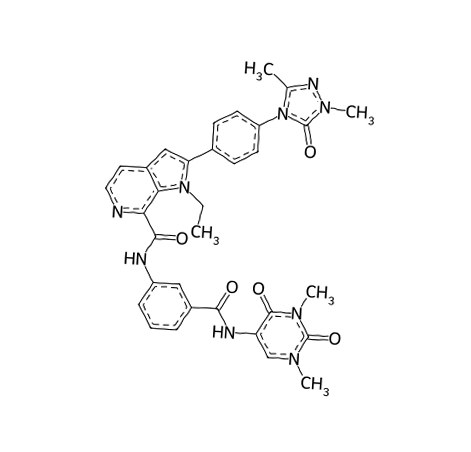 CCn1c(-c2ccc(-n3c(C)nn(C)c3=O)cc2)cc2ccnc(C(=O)Nc3cccc(C(=O)Nc4cn(C)c(=O)n(C)c4=O)c3)c21